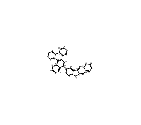 c1ccc(-c2ccccc2-c2ccc(-c3ccc4oc5cc6ccccc6cc5c4c3)c3ccccc23)cc1